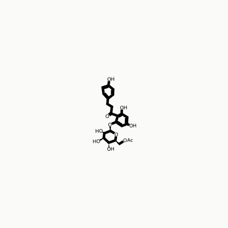 CC(=O)OC[C@@H]1O[C@H](Oc2cc(O)cc(O)c2C(=O)CCc2ccc(O)cc2)[C@@H](O)[C@H](O)[C@H]1O